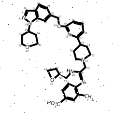 Cc1cc(C(=O)O)ccc1/N=C(/CN1CCC(c2cccc(OCc3ccc4cnn(C5CCOCC5)c4c3)n2)CC1)NC[C@@H]1CCO1